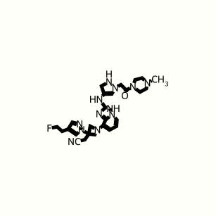 CN1CCN(C(=O)CN2C=C(NC3N=C4C(N5CC(CC#N)(n6cc(CCF)cn6)C5)=CC=CN4N3)CN2)CC1